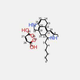 CCCCCCC1NC(C)=CC2=C3CCC=C4NCC(=C43)CC21.O=C(O)/C=C\C(=O)O